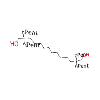 CCCCCC(CO)(CCCCC)CCCCCCCCCCC(CO)(CCCCC)CCCCC